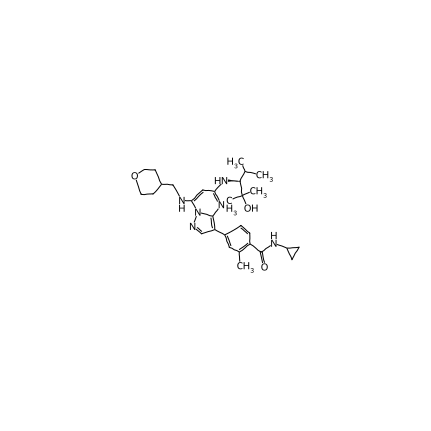 Cc1cc(-c2cnn3c(NCC4CCOCC4)cc(N[C@@H](C(C)C)C(C)(C)O)nc23)ccc1C(=O)NC1CC1